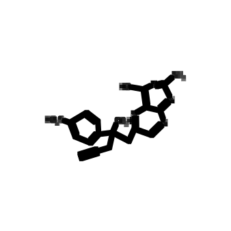 C#CCC(Cc1cnc2nc(N)nc(O)c2n1)(C(=O)O)c1ccc(C(=O)O)cc1